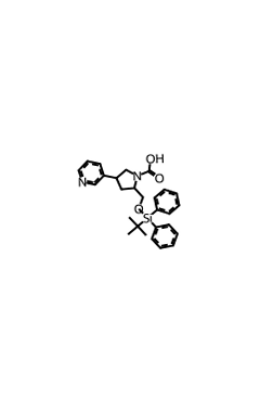 CC(C)(C)[Si](OCC1CC(c2cccnc2)CN1C(=O)O)(c1ccccc1)c1ccccc1